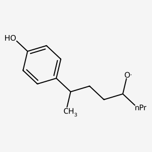 CCCC([O])CCC(C)c1ccc(O)cc1